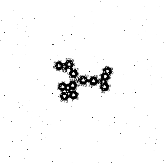 c1ccc(C2(c3ccccc3)c3ccccc3-c3cc(N(c4ccc(-c5ccc(-n6c7ccccc7c7cc8ccccc8cc76)cc5)cc4)c4ccc(-c5cccc6c5oc5ccccc56)cc4)ccc32)cc1